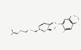 CC(=CCCCCc1ccc2nn(-c3cc4c(cc3O)OCO4)nc2c1)C(=O)O